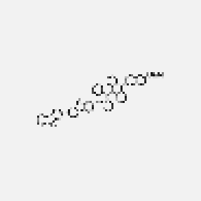 COc1ccc2cc(-c3c4ccccc4c(-c4c5ccccc5c(-c5ccc6c(c5)C(C)(C)c5cc(-c7ccc8c(c7)C(C)(C)c7ccccc7-8)ccc5-6)c5ccccc45)c4ccccc34)ccc2c1